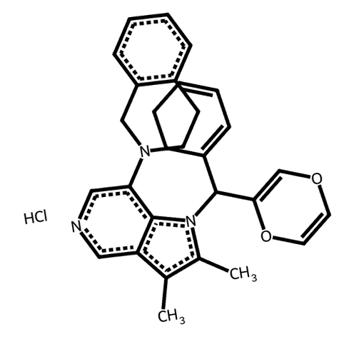 Cc1c(C)n(C(C2=CC=CCC2)C2=COC=CO2)c2c(N3CCc4ccccc4C3)cncc12.Cl